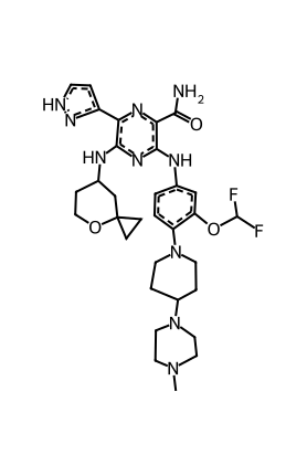 CN1CCN(C2CCN(c3ccc(Nc4nc(NC5CCOC6(CC6)C5)c(-c5cc[nH]n5)nc4C(N)=O)cc3OC(F)F)CC2)CC1